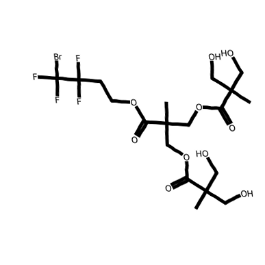 CC(CO)(CO)C(=O)OCC(C)(COC(=O)C(C)(CO)CO)C(=O)OCCC(F)(F)C(F)(F)Br